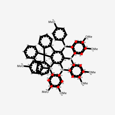 COc1ccc(N(c2ccc(OC)cc2)c2c3c(c(N(c4ccc(OC)cc4)c4ccc(OC)cc4)c(N(c4ccc(OC)cc4)c4ccc(OC)cc4)c2N(c2ccc(OC)cc2)c2ccc(OC)cc2)C2(c4ccccc4-c4ccccc42)c2ccccc2-3)cc1